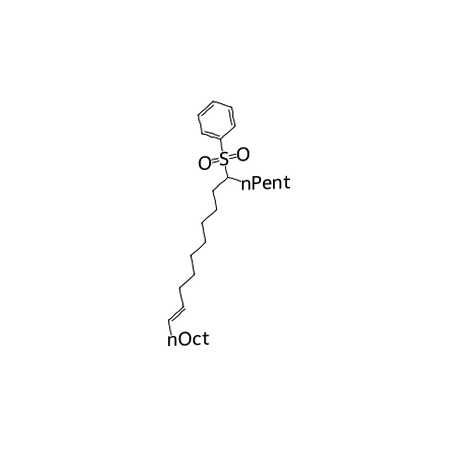 CCCCCCCCC=CCCCCCCCC(CCCCC)S(=O)(=O)c1ccccc1